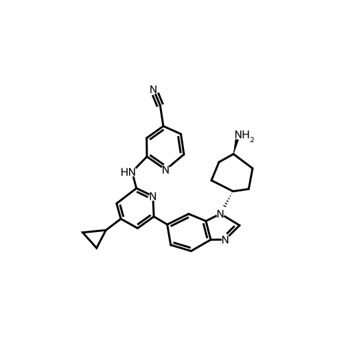 N#Cc1ccnc(Nc2cc(C3CC3)cc(-c3ccc4ncn([C@H]5CC[C@H](N)CC5)c4c3)n2)c1